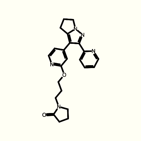 O=C1CCCN1CCCOc1cc(-c2c(-c3ccccn3)nn3c2CCC3)ccn1